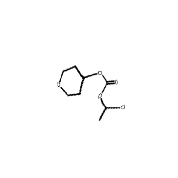 CC(Cl)OC(=O)OC1CCOCC1